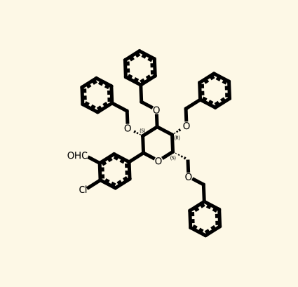 O=Cc1cc(C2O[C@@H](COCc3ccccc3)[C@@H](OCc3ccccc3)C(OCc3ccccc3)[C@H]2OCc2ccccc2)ccc1Cl